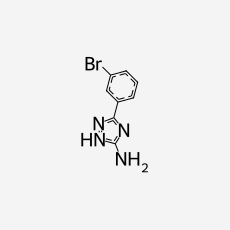 Nc1nc(-c2cccc(Br)c2)n[nH]1